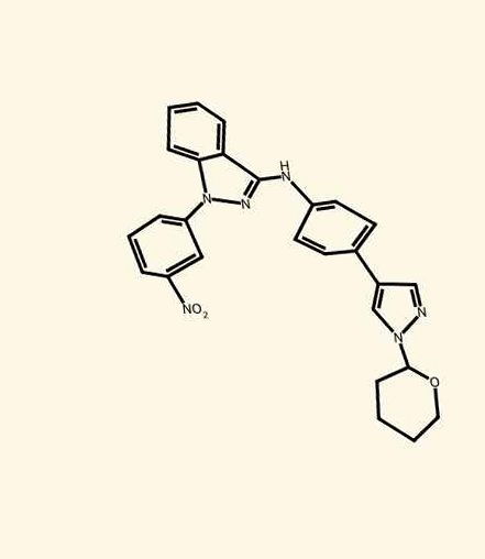 O=[N+]([O-])c1cccc(-n2nc(Nc3ccc(-c4cnn(C5CCCCO5)c4)cc3)c3ccccc32)c1